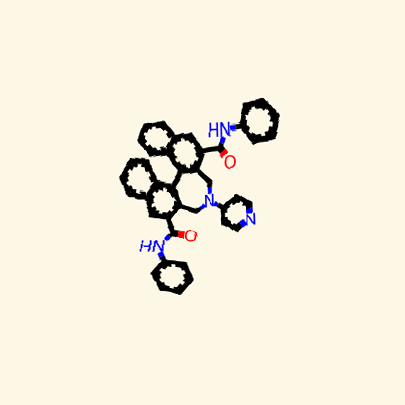 O=C(Nc1ccccc1)c1cc2ccccc2c2c1CN(c1ccncc1)Cc1c(C(=O)Nc3ccccc3)cc3ccccc3c1-2